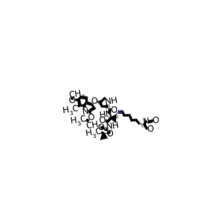 COc1ccc2c(O[C@H]3CN[C@H](C(=O)N[C@]4(C(=O)NS(=O)(=O)C5(C)CC5)C[C@H]4/C=C\CCCCC[C@@H](C=O)N=C=O)C3)cc(OC(C)C)nc2c1C